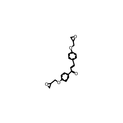 O=C(C=Cc1ccc(OCC2CO2)cc1)c1ccc(OCC2CO2)cc1